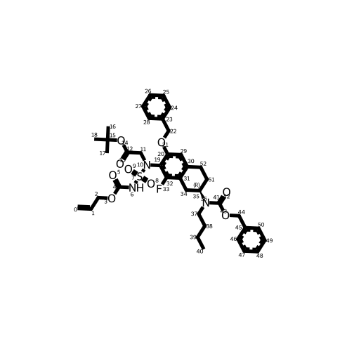 C=CCOC(=O)NS(=O)(=O)N(CC(=O)OC(C)(C)C)c1c(OCc2ccccc2)cc2c(c1F)C[C@H](N(CCCC)C(=O)OCc1ccccc1)CC2